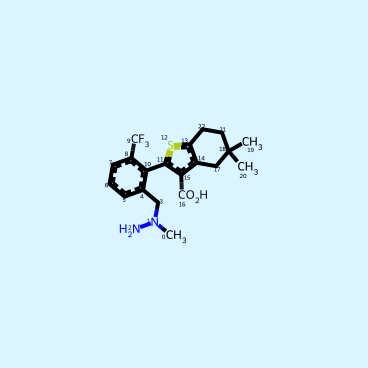 CN(N)Cc1cccc(C(F)(F)F)c1-c1sc2c(c1C(=O)O)CC(C)(C)CC2